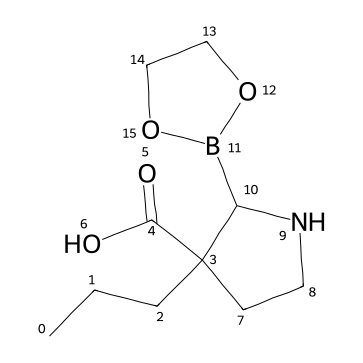 CCCC1(C(=O)O)CCNC1B1OCCO1